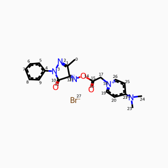 CC1=NN(c2ccccc2)C(=O)/C1=N/OC(=O)C[n+]1ccc(N(C)C)cc1.[Br-]